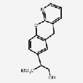 CCOC(=O)C(CO)c1ccc2c(c1)Cc1cccnc1O2